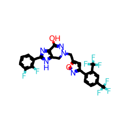 OC1=NN(Cc2cc(-c3ccc(C(F)(F)F)cc3C(F)(F)F)no2)Cc2[nH]c(-c3cccc(F)c3F)nc21